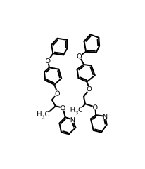 CC(COc1ccc(Oc2ccccc2)cc1)Oc1ccccn1.CC(COc1ccc(Oc2ccccc2)cc1)Oc1ccccn1